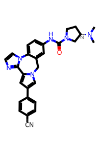 CN(C)[C@H]1CCN(C(=O)Nc2ccc3c(c2)Cn2cc(-c4ccc(C#N)cc4)cc2-c2nccn2-3)C1